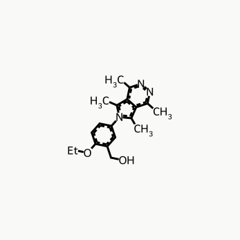 CCOc1ccc(-n2c(C)c3c(C)nnc(C)c3c2C)cc1CO